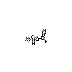 Cc1ncc(C(=O)Nc2ccc(-c3cc(C4CC4)cc(N4CCN(C)CC4)c3)c(C)n2)cn1